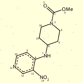 COC(=O)N1CCC(Nc2ccncc2[N+](=O)[O-])CC1